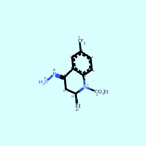 CCOC(=O)N1c2ccc(C(F)(F)F)cc2C(=NN)CC1CC